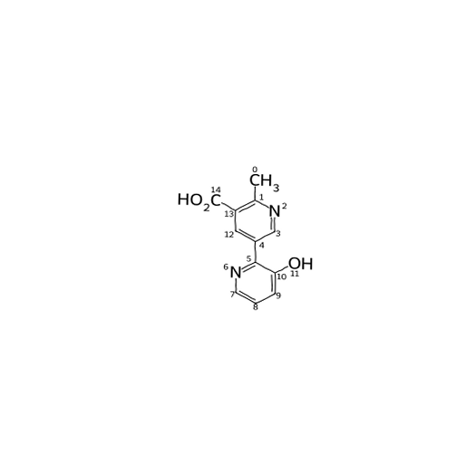 Cc1ncc(-c2ncccc2O)cc1C(=O)O